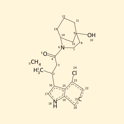 C.CC(CC(=O)N1CCC2(O)CCCC1C2)c1c[nH]c2cccc(Cl)c12